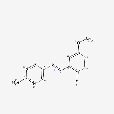 COc1ccc(F)c(/C=C/c2cnc(N)nc2)c1